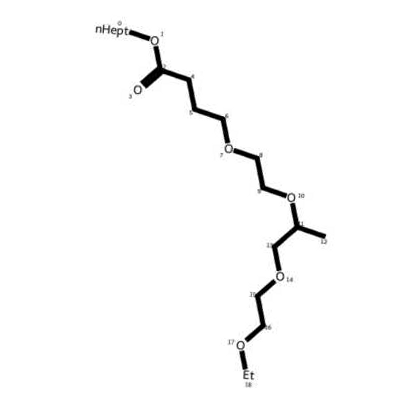 CCCCCCCOC(=O)CCCOCCOC(C)COCCOCC